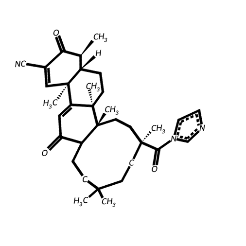 C[C@@H]1C(=O)C(C#N)=C[C@]2(C)C3=CC(=O)C4CCC(C)(C)CC[C@](C)(C(=O)n5ccnc5)CC[C@@]4(C)[C@]3(C)CC[C@@H]12